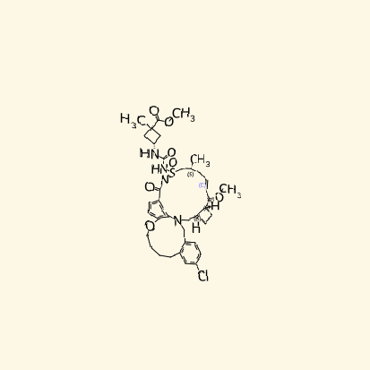 COC(=O)[C@]1(C)C[C@H](NC(=O)NS2(=O)=NC(=O)c3ccc4c(c3)N(Cc3ccc(Cl)cc3CCCCO4)C[C@@H]3CC[C@H]3[C@@H](OC)/C=C/C[C@H](C)C2)C1